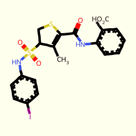 CC1=C(C(=O)Nc2ccccc2C(=O)O)SCC1S(=O)(=O)Nc1ccc(I)cc1